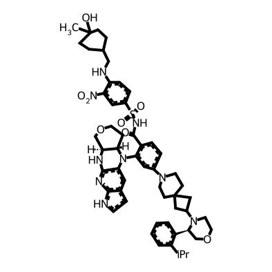 CC(C)c1ccccc1[C@@H]1COCCN1C1CC2(CCN(c3ccc(C(=O)NS(=O)(=O)c4ccc(NCC5CCC(C)(O)CC5)c([N+](=O)[O-])c4)c(N4c5cc6cc[nH]c6nc5N[C@H]5COCC[C@@H]54)c3)CC2)C1